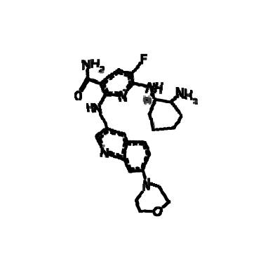 NC(=O)c1cc(F)c(N[C@@H]2CCCCC2N)nc1Nc1cnc2cc(N3CCOCC3)ccc2c1